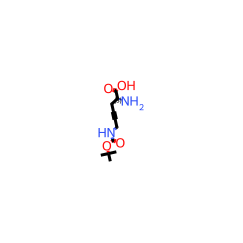 CC(C)(C)OC(=O)NCC#CC[C@H](N)C(=O)O